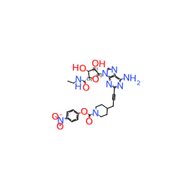 CCNC(=O)[C@H]1O[C@@H](n2cnc3c(N)nc(C#CCC4CCN(C(=O)Oc5ccc([N+](=O)[O-])cc5)CC4)nc32)[C@@H](O)C1O